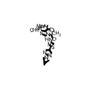 CNC(=O)c1c(N(C)C=O)ncn1C(C)C(=O)Nc1csc(-c2cnc(N3CC4CC4C3)nc2)n1